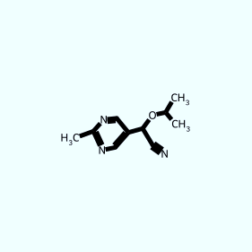 Cc1ncc(C(C#N)OC(C)C)cn1